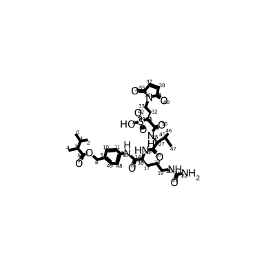 CC(C)C(C)C(=O)OCc1ccc(NC(=O)[C@H](CCCNC(N)=O)NC(=O)[C@@H](NC(=O)[C@H](CCN2C(=O)C=CC2=O)S(=O)(=O)O)C(C)C)cc1